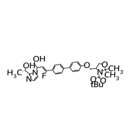 C[C@H](O)c1nccn1C(/C=C(\F)c1ccc(-c2ccc(OCC3COC(C)(C)N3C(=O)OC(C)(C)C)cc2)cc1)CO